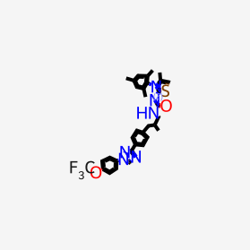 Cc1cc(C)c(-n2c(C)cs/c2=N\C(=O)NCC(C)Cc2ccc(-c3ncn(-c4ccc(OC(F)(F)F)cc4)n3)cc2)c(C)c1